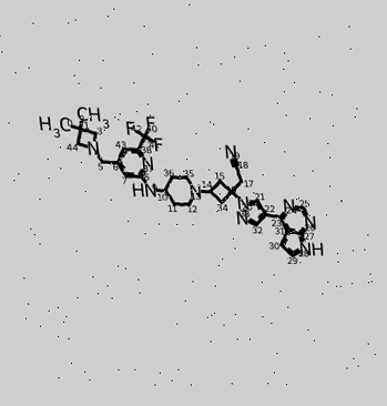 CC1(C)CN(Cc2cc(NC3CCN(C4CC(CC#N)(n5cc(-c6ncnc7[nH]ccc67)cn5)C4)CC3)nc(C(F)(F)F)c2)C1